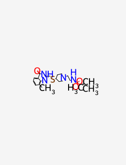 Cc1cccc2c(=O)[nH]c(CSC3CCN(CCNC(=O)OC(C)(C)C)CC3)nc12